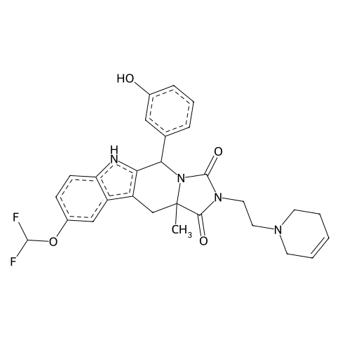 CC12Cc3c([nH]c4ccc(OC(F)F)cc34)C(c3cccc(O)c3)N1C(=O)N(CCN1CC=CCC1)C2=O